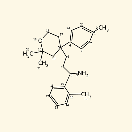 Cc1ccc(C2(CCC(N)c3ccccc3C)CCOC(C)(C)C2)cc1